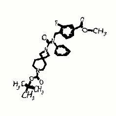 COC(=O)c1ccc(CN(C(=O)N2CC3(CCN(C(=O)OC(C)(C)C)CC3)C2)c2ccccc2)c(F)c1